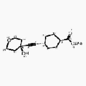 COC(=O)[C@H]1CC[C@H](C#CC2(O)CCOCC2)CC1